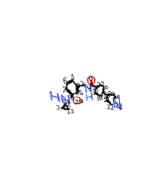 O=C(NCc1cccc(C(=O)NC2CC2)c1)c1ccc(-c2ccncc2)cc1